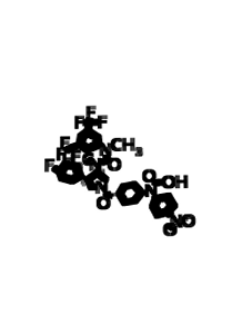 CN(C(=O)N(C)[C@@H]1CN(C(=O)[C@H]2CC[C@H](N(C(=O)O)c3ccc([N+](=O)[O-])cc3)CC2)C[C@H]1c1ccc(F)cc1)c1cc(C(F)(F)F)cc(C(F)(F)F)c1